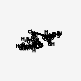 Cc1ncsc1-c1ccc([C@H](C)NC(=O)[C@@H]2C[C@@H](O)CN2C(=O)[C@@H](NC(=O)CCCCCc2cc(Cl)cc(OC[C@H](CCC(N)=O)NC(=O)[C@@H]3Cc4cccc5c4N3C(=O)[C@@H](NC(=O)c3cc4cc(C(=O)P(=O)(O)O)ccc4[nH]3)CC5)c2F)C(C)(C)C)cc1